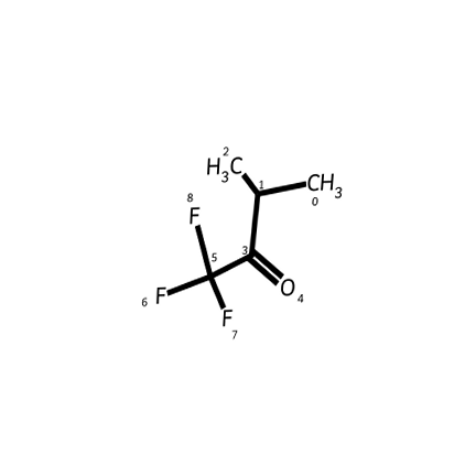 CC(C)C(=O)C(F)(F)F